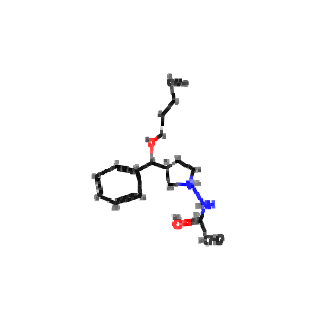 COCCCOC(c1ccccc1)C1CCN(NC(=O)C=O)C1